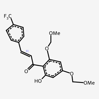 COCOc1cc(O)c(C(=O)/C=C/c2ccc(C(F)(F)F)cc2)c(OCOC)c1